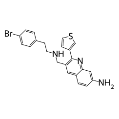 Nc1ccc2cc(CNCCc3ccc(Br)cc3)c(-c3ccsc3)nc2c1